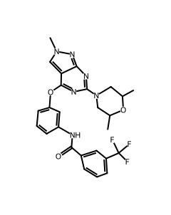 CC1CN(c2nc(Oc3cccc(NC(=O)c4cccc(C(F)(F)F)c4)c3)c3cn(C)nc3n2)CC(C)O1